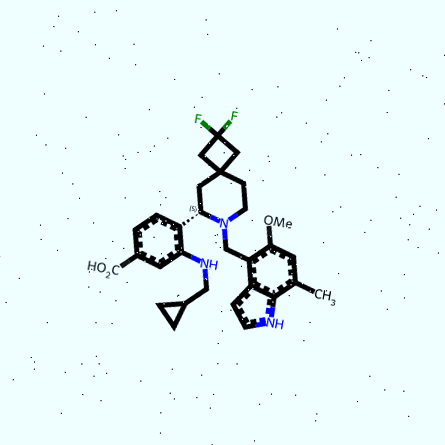 COc1cc(C)c2[nH]ccc2c1CN1CCC2(C[C@H]1c1ccc(C(=O)O)cc1NCC1CC1)CC(F)(F)C2